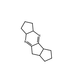 C1CC2N=C3CC4CCCC4C3=NC2C1